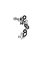 CN1CCc2cc(N3CCn4nc(NC(=O)[C@H](NC(=O)OC(C)(C)C)c5ccccc5)cc43)ccc2C1=O